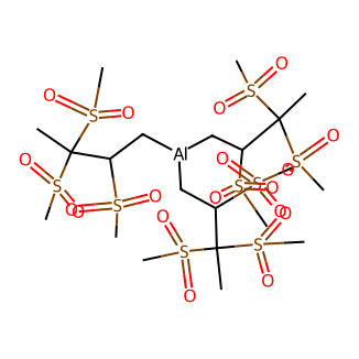 CC(C([CH2][Al]([CH2]C(C(C)(S(C)(=O)=O)S(C)(=O)=O)S(C)(=O)=O)[CH2]C(C(C)(S(C)(=O)=O)S(C)(=O)=O)S(C)(=O)=O)S(C)(=O)=O)(S(C)(=O)=O)S(C)(=O)=O